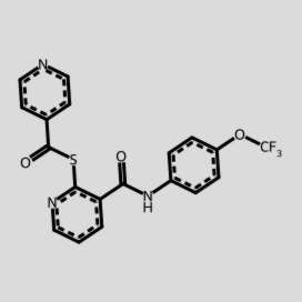 O=C(Sc1ncccc1C(=O)Nc1ccc(OC(F)(F)F)cc1)c1ccncc1